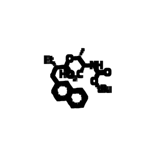 CC[C@@H](Cc1ccc2ccccc2c1)C(=O)O[C@H](C)[C@H](NC(=O)OC(C)(C)C)C(=O)O